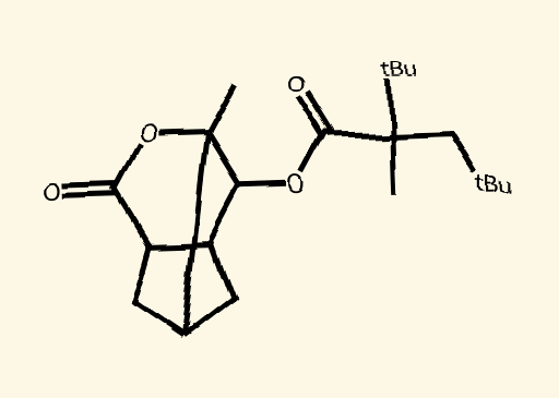 CC(C)(C)CC(C)(C(=O)OC1C2CC3CC2C(=O)OC31C)C(C)(C)C